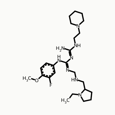 CCN1CCCC1CNC/N=C(\N=C(/N)NCCN1CCCCC1)Nc1ccc(OC)c(F)c1